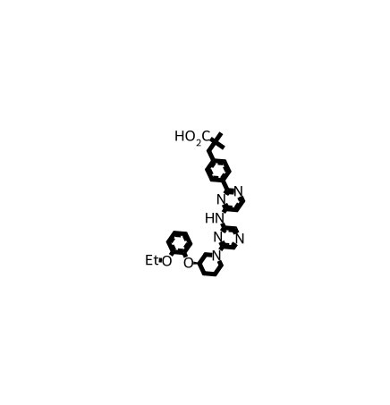 CCOc1ccccc1O[C@@H]1CCCN(c2cncc(Nc3ccnc(-c4ccc(CC(C)(C)C(=O)O)cc4)n3)n2)C1